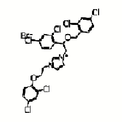 Clc1ccc(COC(C[n+]2ccn(CCOc3ccc(Cl)cc3Cl)c2)c2ccc(Cl)cc2Cl)c(Cl)c1.[Br-]